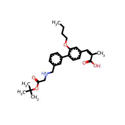 CCCCOc1cc(C=C(C)C(=O)O)ccc1-c1cccc(CNCC(=O)OC(C)(C)C)c1